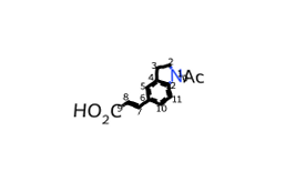 CC(=O)N1CCc2cc(C=CC(=O)O)ccc21